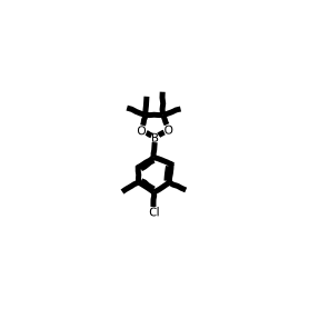 Cc1cc(B2OC(C)(C)C(C)(C)O2)cc(C)c1Cl